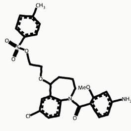 COc1cc(N)ccc1C(=O)N1CCCC(OCCOS(=O)(=O)c2ccc(C)cc2)c2cc(Cl)ccc21